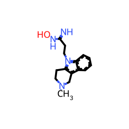 CN1CCc2c(c3ccccc3n2CCC(=N)NO)C1